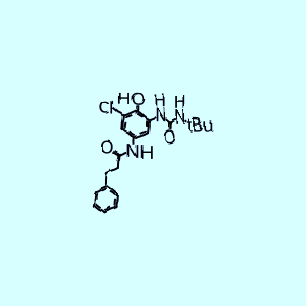 CC(C)(C)NC(=O)Nc1cc(NC(=O)CCc2ccccc2)cc(Cl)c1O